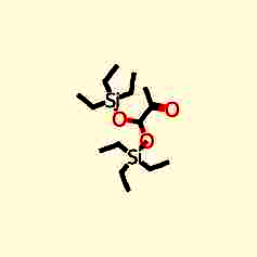 CC[Si](CC)(CC)OC(O[Si](CC)(CC)CC)C(C)=O